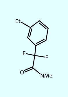 CCc1cccc(C(F)(F)C(=O)NC)c1